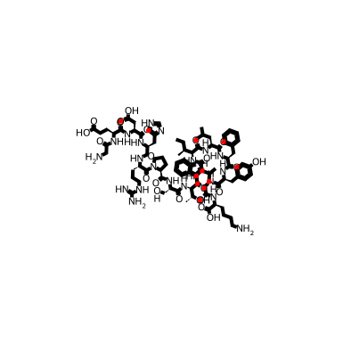 CC[C@H](C)[C@H](NC(=O)[C@@H](NC(=O)[C@@H](NC(=O)[C@H](CO)NC(=O)[C@@H]1CCCN1C(=O)[C@H](CCCNC(=N)N)NC(=O)[C@H](Cc1c[nH]cn1)NC(=O)[C@H](CC(=O)O)NC(=O)[C@H](CCC(=O)O)NC(=O)CN)[C@@H](C)O)C(C)C)C(=O)N[C@@H](CC(C)C)C(=O)N[C@@H](Cc1ccccc1)C(=O)N[C@@H](Cc1ccc(O)cc1)C(=O)N[C@@H](Cc1c[nH]c2ccccc12)C(=O)N[C@@H](CCCCN)C(=O)O